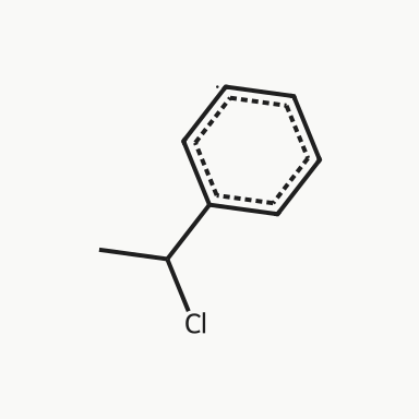 CC(Cl)c1c[c]ccc1